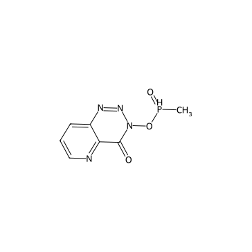 C[PH](=O)On1nnc2cccnc2c1=O